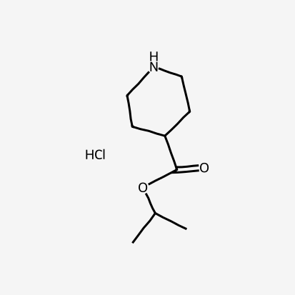 CC(C)OC(=O)C1CCNCC1.Cl